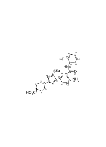 CC(C)(C)c1nn(C2CCN(C(=O)O)CC2)cc1-c1cnc(N)c(C(=O)Nc2ccccc2F)c1